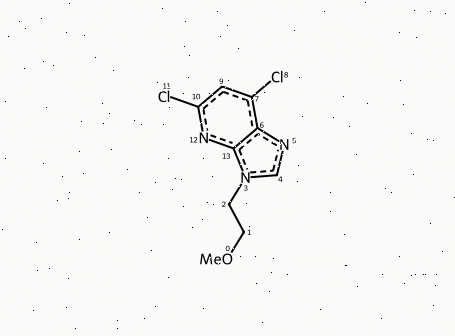 COCCn1cnc2c(Cl)cc(Cl)nc21